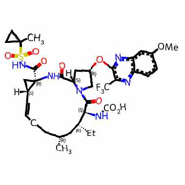 CC[C@@H]1C[C@H](C)CCC=C[C@@H]2C[C@@]2(C(=O)NS(=O)(=O)C2(C)CC2)NC(=O)[C@@H]2C[C@@H](Oc3nc4cc(OC)ccc4nc3C(F)(F)F)CN2C(=O)[C@H]1NC(=O)O